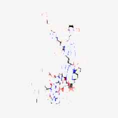 CC[C@H](C)[C@H](NC(=O)[C@H](C(C)C)N(C)C)C(=O)N(C)[C@H](C[C@@H](OC(C)=O)c1nc(C(=O)N[C@H](CCC(=O)O)Cc2ccc(O)c(NC(=O)CCCNC(=O)[C@H](CCCCNC(=O)COCCOC)NC(=O)CCCN3C(=O)C=CC3=O)c2)cs1)C(C)C